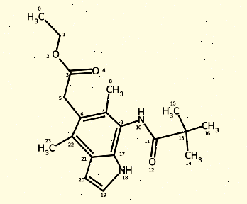 CCOC(=O)Cc1c(C)c(NC(=O)C(C)(C)C)c2[nH]ccc2c1C